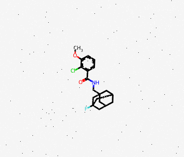 COc1cccc(C(=O)NCC23CC4CC(CC(F)(C4)C2)C3)c1Cl